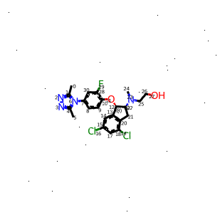 Cc1nnc(C)n1-c1ccc(O[C@@H]2c3cc(Cl)cc(Cl)c3C[C@@H]2N(C)CCO)c(F)c1